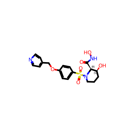 O=C(NO)[C@H]1[C@@H](O)CCCN1S(=O)(=O)c1ccc(OCc2ccncc2)cc1